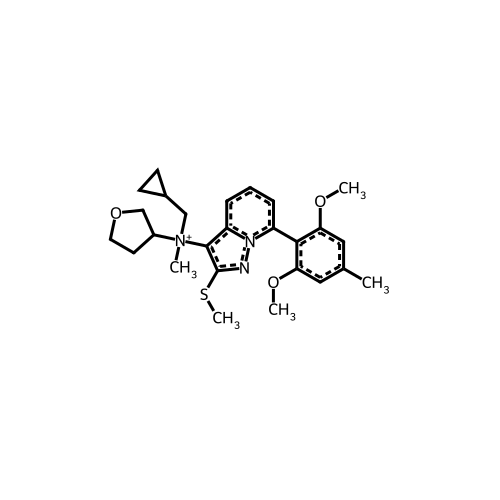 COc1cc(C)cc(OC)c1-c1cccc2c([N+](C)(CC3CC3)C3CCOC3)c(SC)nn12